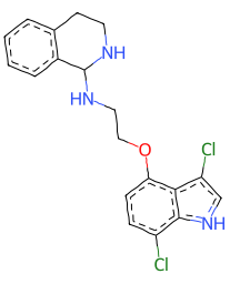 Clc1ccc(OCCNC2NCCc3ccccc32)c2c(Cl)c[nH]c12